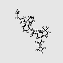 Cn1cnnc1C1(c2cccc(NC(=O)c3cc(CNC4CCC4)c4c(n3)C(C)(C)CO4)c2)CC(CC#N)C1